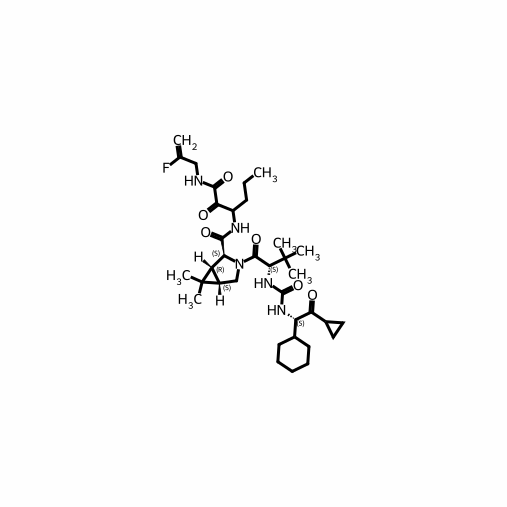 C=C(F)CNC(=O)C(=O)C(CCC)NC(=O)[C@@H]1[C@@H]2[C@H](CN1C(=O)[C@@H](NC(=O)N[C@H](C(=O)C1CC1)C1CCCCC1)C(C)(C)C)C2(C)C